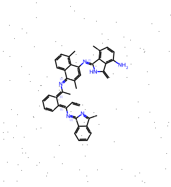 C=CC(/N=C1\N=C(C)c2ccccc21)=c1/cccc/c1=C(C)\N=C1/C(C)=C=C(/N=C2\NC(=C)c3c(N)ccc(C)c32)c2c(C)cccc21